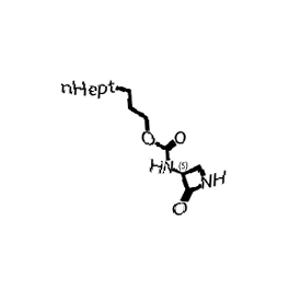 CCCCCCCCCCOC(=O)N[C@H]1CNC1=O